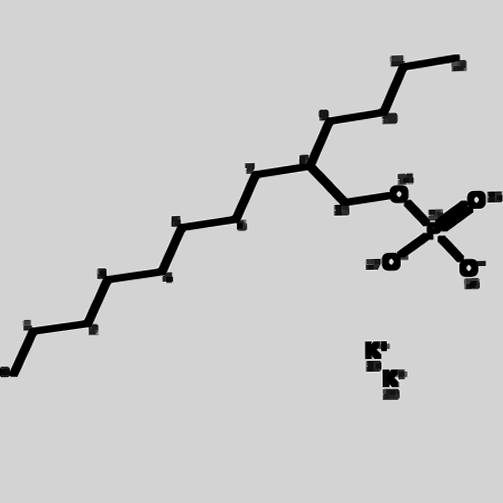 CCCCCCCCC(CCCC)COP(=O)([O-])[O-].[K+].[K+]